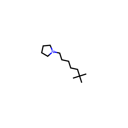 CC(C)(C)CCCCCN1CCCC1